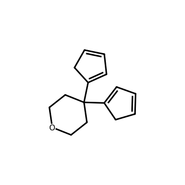 C1=CCC(C2(C3=CC=CC3)CCOCC2)=C1